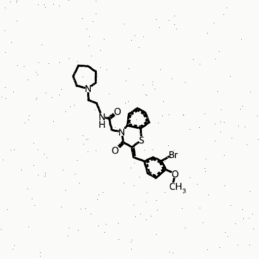 COc1ccc(/C=C2\Sc3ccccc3N(CC(=O)NCCN3CCCCCC3)C2=O)cc1Br